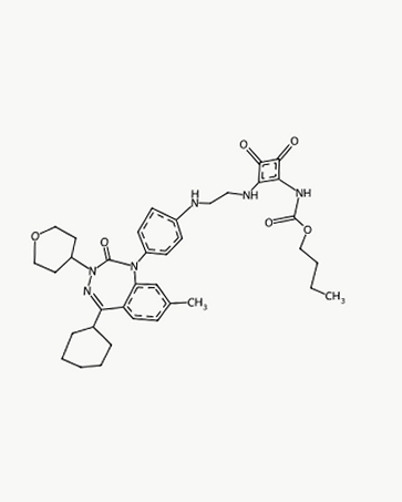 CCCCOC(=O)Nc1c(NCCNc2ccc(N3C(=O)N(C4CCOCC4)N=C(C4CCCCC4)c4ccc(C)cc43)cc2)c(=O)c1=O